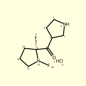 Cl.O=C(C1CCNC1)[C@]1(F)CCCN1F